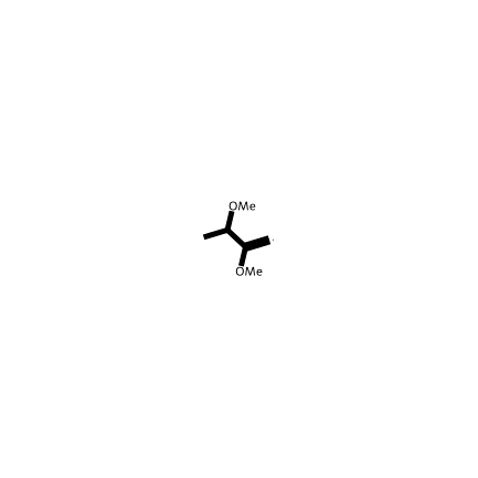 [CH]=C(OC)C(C)OC